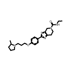 CCNC(=O)N1CCc2nc(-c3ccc(OCCCN4CCCC4C)cc3)sc2C1